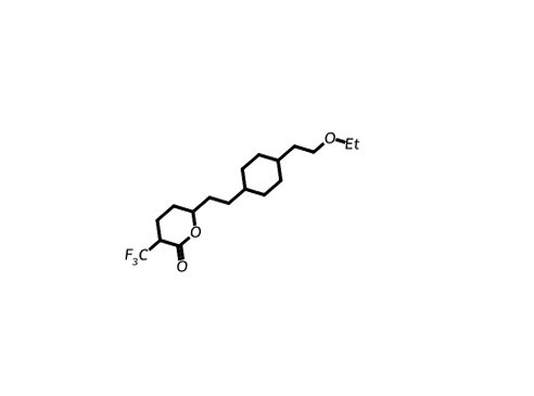 CCOCCC1CCC(CCC2CCC(C(F)(F)F)C(=O)O2)CC1